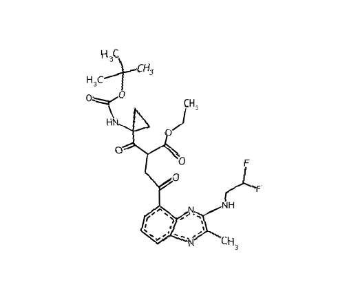 CCOC(=O)C(CC(=O)c1cccc2nc(C)c(NCC(F)F)nc12)C(=O)C1(NC(=O)OC(C)(C)C)CC1